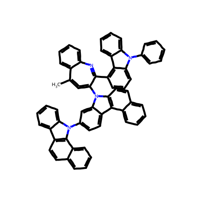 CC1=C=C(n2c3cc(-n4c5ccccc5c5ccc6ccccc6c54)ccc3c3c4ccccc4ccc32)C(c2cccc3c2c2ccccc2n3-c2ccccc2)=Nc2ccccc21